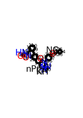 CCCc1c(Cc2ccc(-c3ccccc3-c3noc(=O)[nH]3)cc2)c(=O)n(C2CCC(OCC3(C#N)CCC3)CC2)c2ncnn12.[KH]